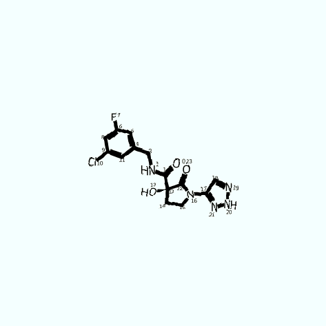 O=C(NCc1cc(F)cc(Cl)c1)[C@@]1(O)CCN(c2cn[nH]n2)C1=O